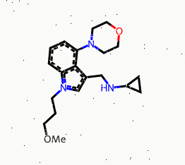 COCCCn1cc(CNC2CC2)c2c(N3CCOCC3)cccc21